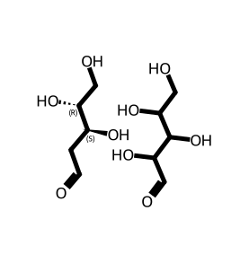 O=CC(O)C(O)C(O)CO.O=CC[C@H](O)[C@H](O)CO